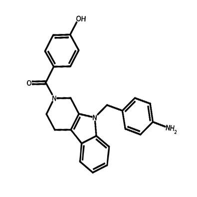 Nc1ccc(Cn2c3c(c4ccccc42)CCN(C(=O)c2ccc(O)cc2)C3)cc1